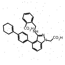 O=C(O)Cn1nc(NCc2ccccc2C(=O)O)c2c(-c3ccc(C4=CCCCC4)cc3)cccc21